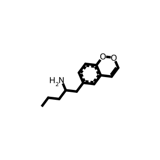 CCCC(N)Cc1ccc2c(c1)C=COO2